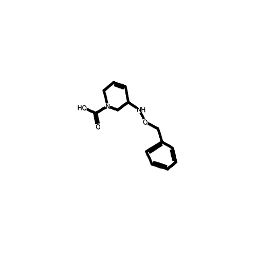 O=C(O)N1CC=CC(NOCc2ccccc2)C1